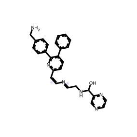 NCc1ccc(-c2nc(/C=C\N=C\CNC(O)c3cnccn3)ccc2-c2ccccc2)cc1